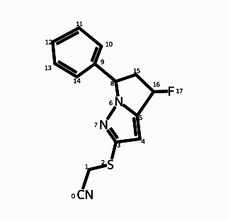 N#CCSc1cc2n(n1)C(c1ccccc1)CC2F